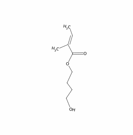 C/C=C(\C)C(=O)OCCCCO